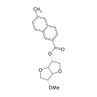 CO[C@@H]1COC2C1OC[C@H]2OC(=O)c1ccc2cc(C)ccc2c1